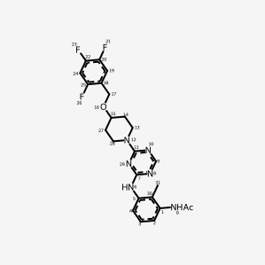 CC(=O)Nc1cccc(Nc2ncnc(N3CCC(OCc4cc(F)c(F)cc4F)CC3)n2)c1C